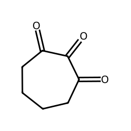 O=C1CCCCC(=O)C1=O